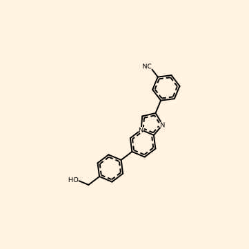 N#Cc1cccc(-c2cn3cc(-c4ccc(CO)cc4)ccc3n2)c1